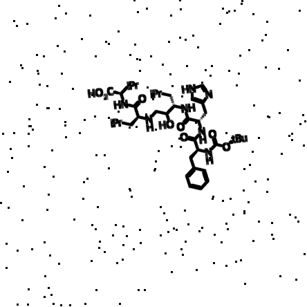 CC(C)C[C@H](NCC(O)[C@H](CC(C)C)NC(=O)[C@H](Cc1c[nH]cn1)NC(=O)[C@H](Cc1ccccc1)NC(=O)OC(C)(C)C)C(=O)N[C@@H](C(=O)O)C(C)C